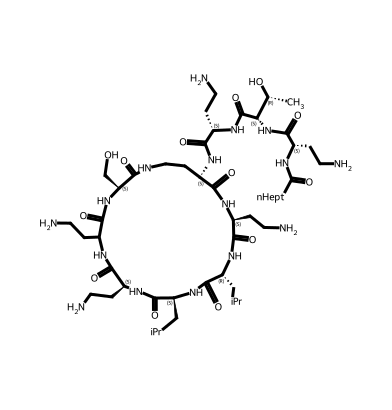 CCCCCCCC(=O)N[C@@H](CCN)C(=O)N[C@H](C(=O)N[C@@H](CCN)C(=O)N[C@H]1CCNC(=O)[C@H](CO)NC(=O)C(CCN)NC(=O)[C@H](CCN)NC(=O)[C@H](CC(C)C)NC(=O)[C@@H](CC(C)C)NC(=O)[C@H](CCN)NC1=O)[C@@H](C)O